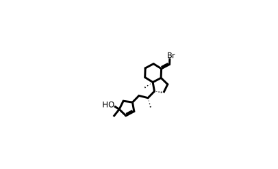 C[C@H](CC1C=CC(C)(O)C1)[C@H]1CCC2/C(=C/Br)CCC[C@@]21C